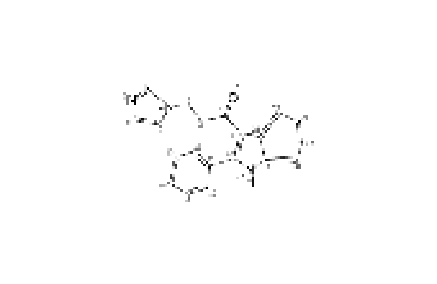 O=C(CCn1ccnc1)c1c(-c2ccccc2)[nH]c2ccccc12